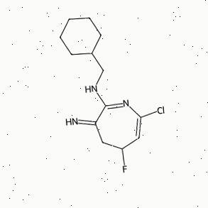 N=C1CC(F)C=C(Cl)N=C1NCC1CCCCC1